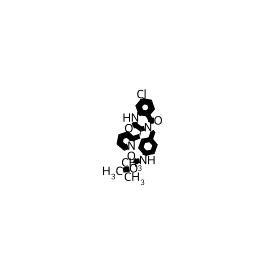 CC(C)(C)OC(=O)NC1CCC(CN2C(=O)c3ccc(Cl)cc3NC(=O)[C@H]2Cc2ccccn2)CC1